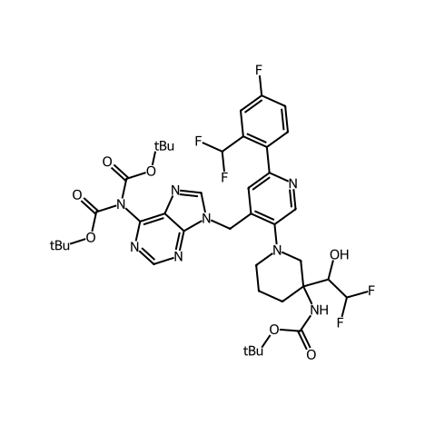 CC(C)(C)OC(=O)NC1(C(O)C(F)F)CCCN(c2cnc(-c3ccc(F)cc3C(F)F)cc2Cn2cnc3c(N(C(=O)OC(C)(C)C)C(=O)OC(C)(C)C)ncnc32)C1